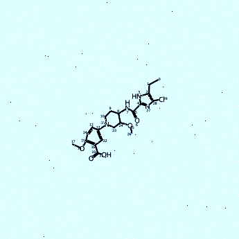 CCc1[nH]c(C(=O)NC2CCN(c3ccc(OC)c(C(=O)O)c3)CC2OC)nc1Cl